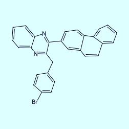 Brc1ccc(Cc2nc3ccccc3nc2-c2ccc3c(ccc4ccccc43)c2)cc1